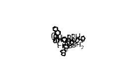 Bc1c(B)c(N(c2ccc(-c3ccc4ccccc4c3)cc2)c2cccc(-c3cccc4oc5c6ccccc6ccc5c34)c2)c(B)c(B)c1-c1ccc(-c2ccccc2)cc1